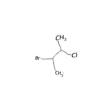 [CH2]C(Br)C(C)Cl